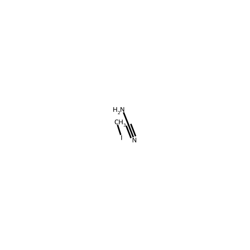 CI.N#CN